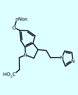 CCCCCCCCCOc1ccc2c(c1)N(CCC(=O)O)CC2CCn1ccnc1